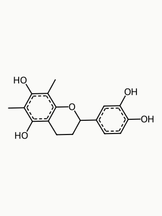 Cc1c(O)c(C)c2c(c1O)CCC(c1ccc(O)c(O)c1)O2